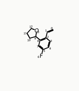 C=Cc1ccc(F)cc1C1CCCO1